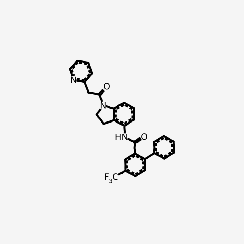 O=C(Nc1cccc2c1CCN2C(=O)Cc1ccccn1)c1cc(C(F)(F)F)ccc1-c1ccccc1